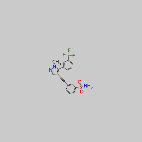 Cn1ncc(C#Cc2cccc(S(N)(=O)=O)c2)c1-c1cccc(C(F)(F)F)c1